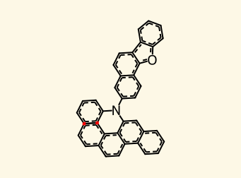 c1ccc(N(c2ccc3c(ccc4c5ccccc5oc34)c2)c2cc3ccccc3c3ccc4ccccc4c23)cc1